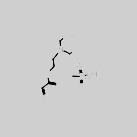 C=CC(=O)OCCN(CC)CC.O=S(=O)(O)O